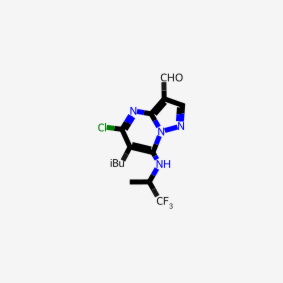 CCC(C)c1c(Cl)nc2c(C=O)cnn2c1NC(C)C(F)(F)F